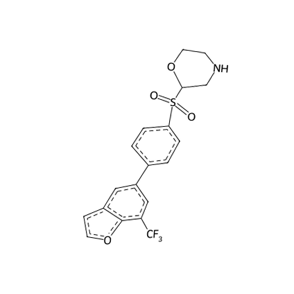 O=S(=O)(c1ccc(-c2cc(C(F)(F)F)c3occc3c2)cc1)C1CNCCO1